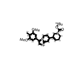 COc1cc(-c2cnc3cc(C4=CCCN(C(=O)OC(C)(C)C)C4)ccn23)cc(OC)c1C